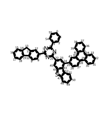 c1ccc(-c2nc(-c3ccc4c(c3)Cc3ccccc3-4)nc(-c3cc(-c4ccc5c6ccccc6c6ccccc6c5c4)c4c(c3)sc3ccccc34)n2)cc1